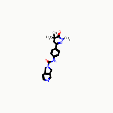 CN1N=C(c2ccc(NC(=O)N3Cc4ccncc4C3)cc2)CC(C)(C)C1=O